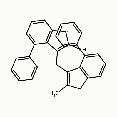 CC1=C(CC2=C(C)[CH]c3cccc(-c4ccccc4)c32)c2c(cccc2-c2ccccc2)[CH]1